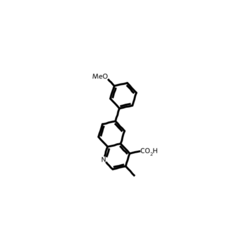 COc1cccc(-c2ccc3ncc(C)c(C(=O)O)c3c2)c1